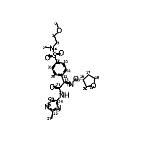 COCCN(C)S(=O)(=O)c1ccc(/C(=N\O[C@@H]2CCOC2)C(=O)Nc2nc(C)ns2)cc1